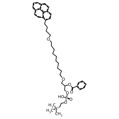 C[N+](C)(C)CCOP(=O)(O)OCC(COCCCCCCCCCCOCCCCc1ccc2ccc3cccc4ccc1c2c34)OC(=O)c1ccccc1